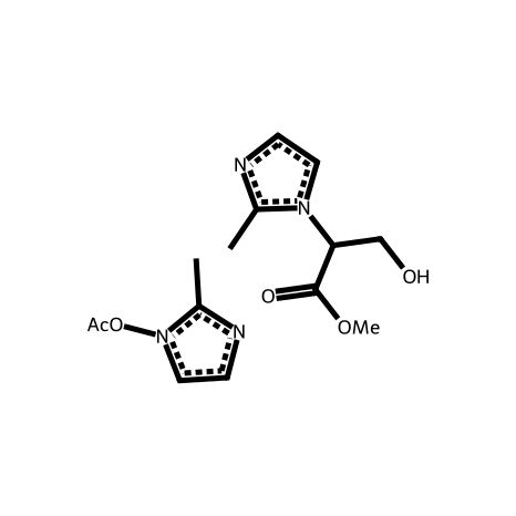 CC(=O)On1ccnc1C.COC(=O)C(CO)n1ccnc1C